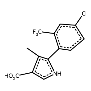 Cc1c(C(=O)O)c[nH]c1-c1ccc(Cl)cc1C(F)(F)F